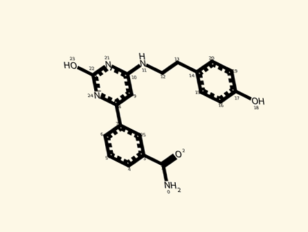 NC(=O)c1cccc(-c2cc(NCCc3ccc(O)cc3)nc(O)n2)c1